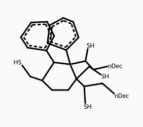 CCCCCCCCCCCC(S)C1(CS)CCC(CS)C(c2ccccc2)C1(c1ccccc1)C(S)CCCCCCCCCCC